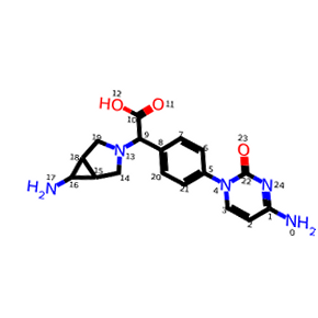 Nc1ccn(-c2ccc(C(C(=O)O)N3CC4C(N)C4C3)cc2)c(=O)n1